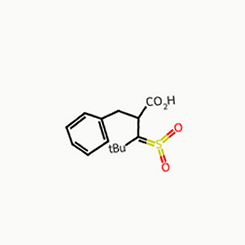 CC(C)(C)C(C(Cc1ccccc1)C(=O)O)=S(=O)=O